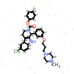 CN1CCN(CCCOc2cccc(C3C4=C(CCN3C(=O)Oc3ccc(F)cc3)C3C=C(Cl)C=CC3N4)c2)CC1